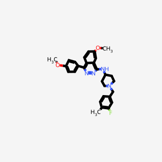 COc1ccc(-c2nnc(NC3CCN(Cc4ccc(C)c(F)c4)CC3)c3cc(OC)ccc23)cc1